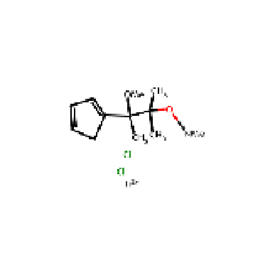 CNOC(C)(C)C(C)(OC)C1=CC=CC1.[Cl-].[Cl-].[Ti+2]